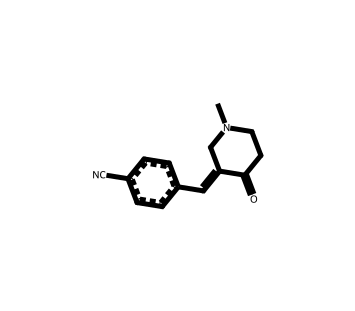 CN1CCC(=O)/C(=C/c2ccc(C#N)cc2)C1